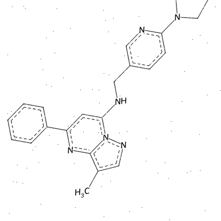 Cc1cnn2c(NCc3ccc(N4CCCC4)nc3)cc(-c3ccccc3)nc12